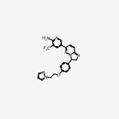 Nc1ncc(C2=NN3C(=NCC3c3ccc(OCCn4cccn4)cc3)C=C2)cc1C(F)(F)F